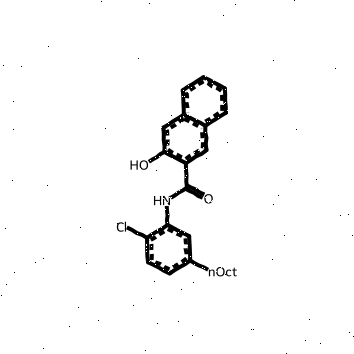 CCCCCCCCc1ccc(Cl)c(NC(=O)c2cc3ccccc3cc2O)c1